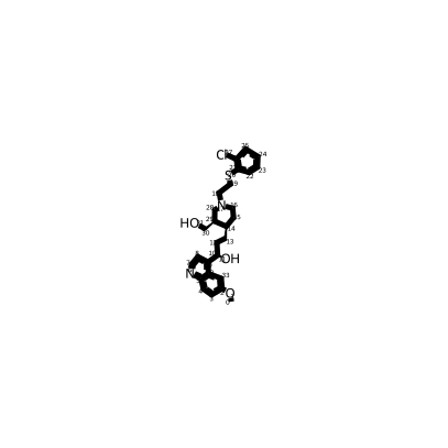 COc1ccc2nccc([C@@H](O)CC[C@@H]3CCN(CCSc4ccccc4Cl)C[C@@H]3CO)c2c1